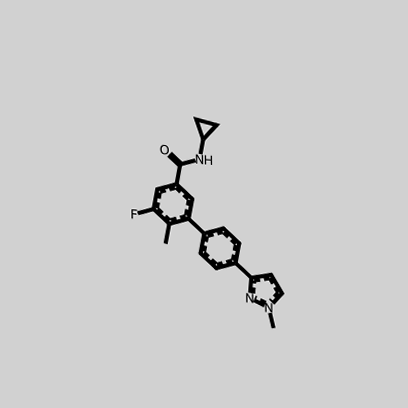 Cc1c(F)cc(C(=O)NC2CC2)cc1-c1ccc(-c2ccn(C)n2)cc1